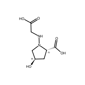 O=C(O)CNN1C[C@H](O)C[C@H]1C(=O)O